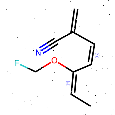 C=C(C#N)/C=C\C(=C/C)OCF